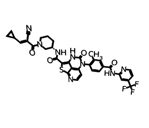 Cc1cc(C(=O)Nc2cc(C(F)(F)F)ccn2)ccc1N1C(=O)Nc2c(C(=O)N[C@H]3CCCN(C(=O)/C(C#N)=C/C4CC4)C3)sc3nccc1c23